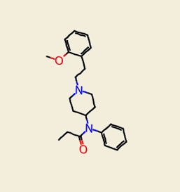 CCC(=O)N(c1ccccc1)C1CCN(CCc2ccccc2OC)CC1